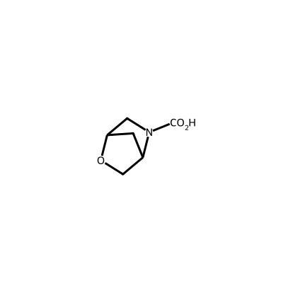 O=C(O)N1CC2CC1CO2